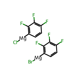 Fc1cc[c]([Mg][Br])c(F)c1F.Fc1cc[c]([Mg][Cl])c(F)c1F